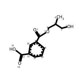 CC(CO)COC(=O)c1cccc(C(=O)O)c1